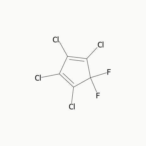 FC1(F)C(Cl)=C(Cl)C(Cl)=C1Cl